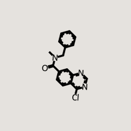 CN(Cc1ccccc1)C(=O)c1ccc2c(Cl)ncnc2c1